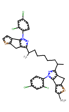 CC(CCCCCC(c1nn(-c2ccc(Cl)cc2Cl)c2c1Cc1sccc1-2)C(F)(F)F)c1nn(-c2ccc(Cl)cc2Cl)c2c1Cc1sc(S(=O)(=O)O)cc1-2